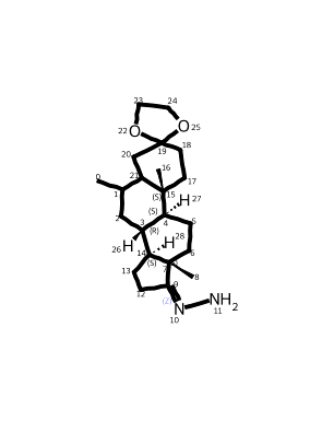 CC1C[C@@H]2[C@H](CC[C@]3(C)/C(=N\N)CC[C@@H]23)[C@@]2(C)CCC3(CC12)OCCO3